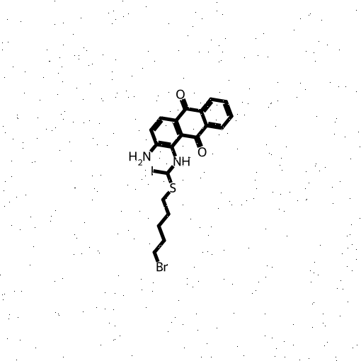 Nc1ccc2c(c1NC(I)SCCCCCBr)C(=O)c1ccccc1C2=O